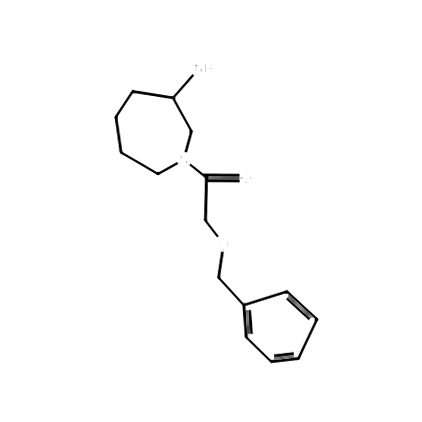 NC1CCCCN(C(=O)COCc2ccccc2)C1